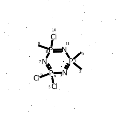 CP1(C)=NP(Cl)(Cl)=NP(C)(Cl)=N1